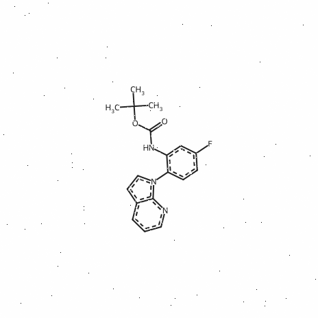 CC(C)(C)OC(=O)Nc1cc(F)ccc1-n1ccc2cccnc21